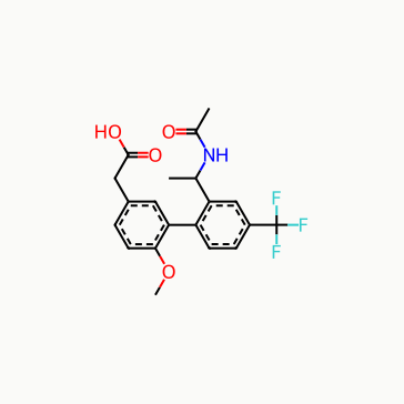 COc1ccc(CC(=O)O)cc1-c1ccc(C(F)(F)F)cc1C(C)NC(C)=O